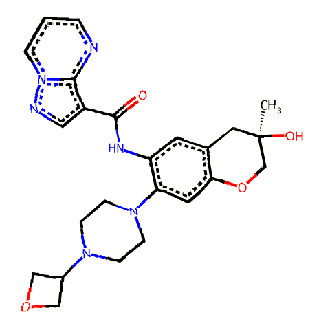 C[C@]1(O)COc2cc(N3CCN(C4COC4)CC3)c(NC(=O)c3cnn4cccnc34)cc2C1